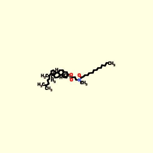 CCCCCCCCCCCCCC(=O)N(C)CCC(=O)O[C@H]1CC[C@@]2(C)C(=CC[C@H]3[C@@H]4CC[C@H]([C@H](C)CCCC(C)C)[C@@]4(C)CC[C@@H]32)C1